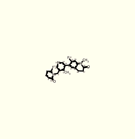 Cc1c(Cn2c(F)cccc2=O)cncc1-c1cc2c(cc1F)N(C)C(=O)CC2